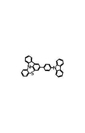 c1ccc2c(c1)Sc1cc(-c3ccc(-n4c5ccccc5c5ccccc54)cc3)cc3c4ccccc4n-2c13